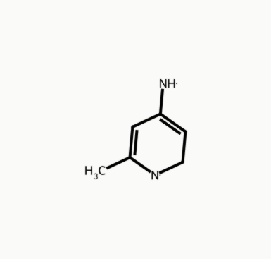 CC1=CC([NH])=CC[N]1